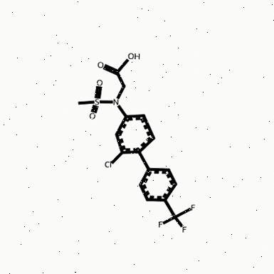 CS(=O)(=O)N(CC(=O)O)c1ccc(-c2ccc(C(F)(F)F)cc2)c(Cl)c1